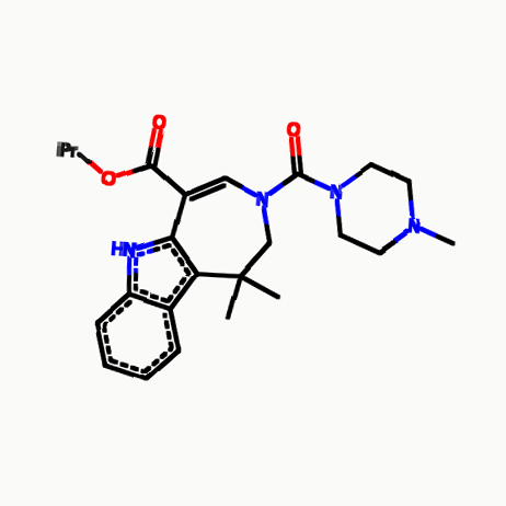 CC(C)OC(=O)C1=CN(C(=O)N2CCN(C)CC2)CC(C)(C)c2c1[nH]c1ccccc21